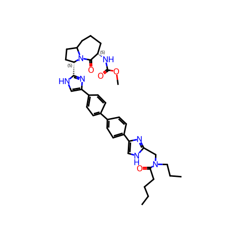 CCCCC(=O)N(CCC)Cc1nc(-c2ccc(-c3ccc(-c4c[nH]c([C@@H]5CCC6CCC[C@H](NC(=O)OC)C(=O)N65)n4)cc3)cc2)c[nH]1